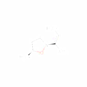 C/C=C(/C)[C@@H]1CC[C@H](C)O1